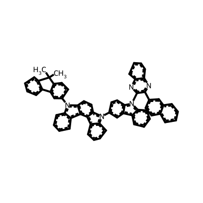 CC1(C)c2ccccc2-c2cc(-n3c4ccccc4c4c5c6ccccc6n(-c6ccc7c(c6)c6ccccc6n7-c6nc7ccccc7nc6-c6ccc7ccccc7c6)c5ccc43)ccc21